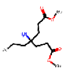 CC(=O)CCC(N)(CCC(=O)OC(C)(C)C)CCC(=O)OC(C)(C)C